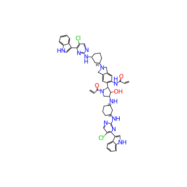 C=CC(=O)Nc1cc2c(cc1C1C(O)C(N[C@H]3CCC[C@@H](Nc4ncc(Cl)c(-c5c[nH]c6ccccc56)n4)C3)CN1C(=O)C=C)CN([C@@H]1CCCC(Nc3ncc(Cl)c(-c4c[nH]c5ccccc45)n3)C1)C2